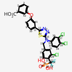 O=C(O)c1cccc(Oc2cccc(-c3nnc(N(Cc4ccc(C(F)(F)P(=O)(O)O)c(Cl)c4)c4ccc(Cl)c(Cl)c4)s3)c2)c1